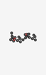 c1ccc(-c2ccc(N(c3ccc(-c4ccc(-c5ccccc5)c(-c5cc(-c6cccc(-c7ccc(N(c8ccc(-c9ccc(-c%10ccccc%10)c(-c%10cccc%11ccccc%10%11)c9)cc8)c8cccc9ccccc89)c(-c8ccccc8)c7)c6)cc6ccccc56)c4)cc3)c3ccccc3-c3ccccc3)c(-c3ccccc3)c2)cc1